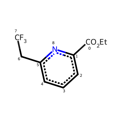 CCOC(=O)c1cccc(CC(F)(F)F)n1